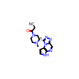 CN1CCN(C(=O)CC#N)C[C@@H]1c1nnc2cnc3[nH]ccc3n12